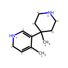 CC1=CCNC=C1C1(C)CCNCC1